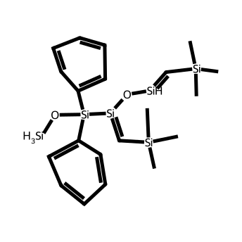 C[Si](C)(C)C=[SiH]O[Si](=C[Si](C)(C)C)[Si](O[SiH3])(c1ccccc1)c1ccccc1